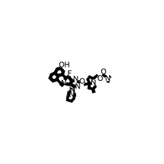 C#Cc1cccc2cc(O)cc(-c3ncc4c(N5CC6CCC(C5)N6)nc(OCC56CCC(COC(=O)N(C)C)N5CC(=C)C6)nc4c3F)c12